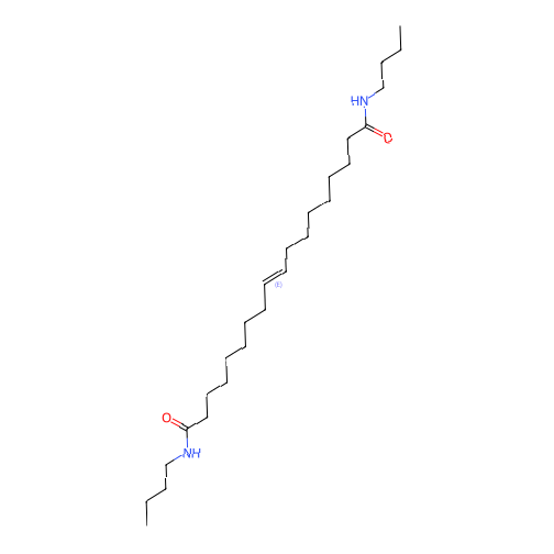 CCCCNC(=O)CCCCCCC/C=C/CCCCCCCC(=O)NCCCC